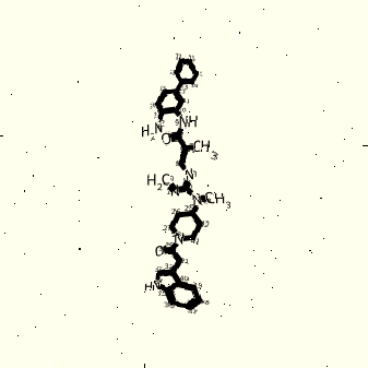 C=N/C(=N\C=C(/C)C(=O)Nc1cc(-c2ccccc2)ccc1N)N(C)C1CCN(C(=O)Cc2c[nH]c3ccccc23)CC1